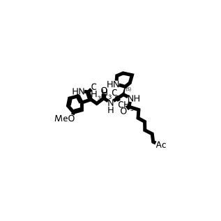 COc1ccc2[nH]c(C)c(CC(=O)NC(C)(C)C(NC(=O)CCCCCCC(C)=O)[C@@H]3CCCCN3)c2c1